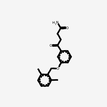 Cc1cccc(C)c1COc1cccc(C(=O)CCC(N)=O)c1